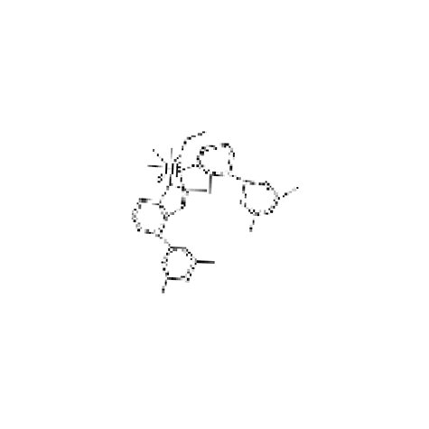 [CH2]=[Hf]([CH3])([CH3])([CH3])([CH2]CC)([CH]1C=Cc2c(-c3cc(C)cc(C)c3)cccc21)[CH]1C=Cc2c(-c3cc(C)cc(C)c3)cccc21